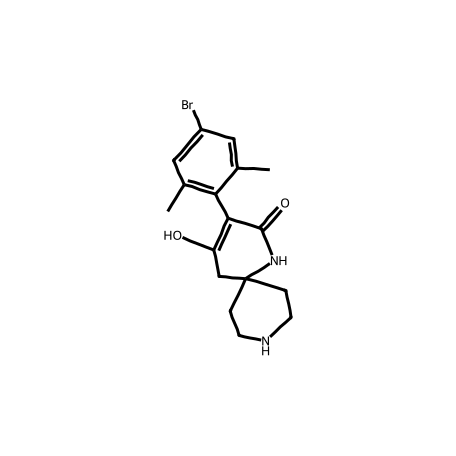 Cc1cc(Br)cc(C)c1C1=C(O)CC2(CCNCC2)NC1=O